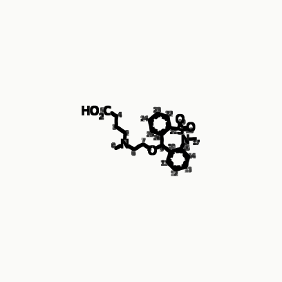 CN(CCCC(=O)O)CCOC1c2ccccc2N(C)S(=O)(=O)c2ccccc21